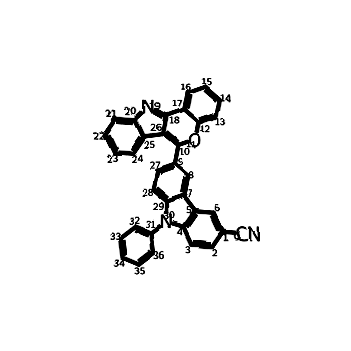 N#Cc1ccc2c(c1)c1cc(-c3oc4ccccc4c4nc5ccccc5c3-4)ccc1n2-c1ccccc1